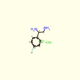 Cl.Cl.NCC(N)c1ccc(F)cc1